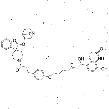 O=C(CCc1ccc(OCCCCNCC(O)c2ccc(O)c3[nH]c(=O)ccc23)cc1)N1CCC(C(=O)OC2CN3CCC2CC3)(c2ccccc2)CC1